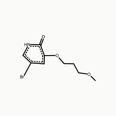 COCCCOc1cc(Br)c[nH]c1=O